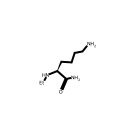 CCN[C@@H](CCCCN)C(N)=O